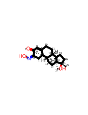 C[C@]12CC(=NO)C(=O)C=C1CC[C@@H]1[C@@H]2CC[C@@]2(C)[C@H]1CC[C@]2(C)O